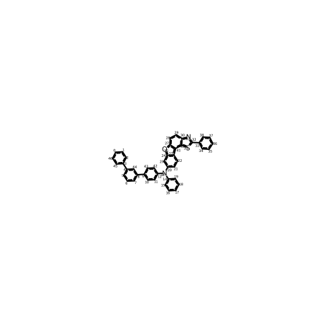 c1ccc(-c2cccc(-c3ccc(N(c4ccccc4)c4ccc5c(c4)oc4ccc6nc(-c7ccccc7)sc6c45)cc3)c2)cc1